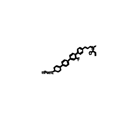 C=CC(=O)N(C)CCCc1ccc(-c2ccc(-c3ccc(C4=CCC(CCCCC)CC4)cc3)cc2F)cc1